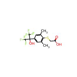 Cc1cc(C(O)(C(F)(F)F)C(F)(F)F)cc(C)c1SCC(=O)O